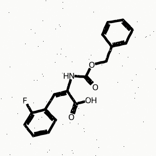 O=C(N/C(=C/c1ccccc1F)C(=O)O)OCc1ccccc1